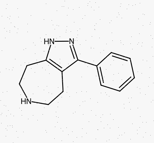 c1ccc(-c2n[nH]c3c2CCNCC3)cc1